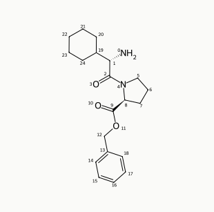 N[C@H](C(=O)N1CCC[C@H]1C(=O)OCc1ccccc1)C1CCCCC1